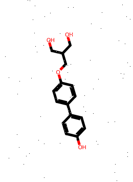 OCC(CO)COc1ccc(-c2ccc(O)cc2)cc1